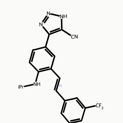 CC(C)Nc1ccc(-c2nn[nH]c2C#N)cc1/C=C/c1cccc(C(F)(F)F)c1